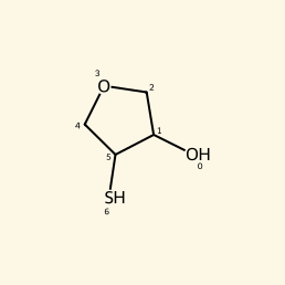 OC1COCC1S